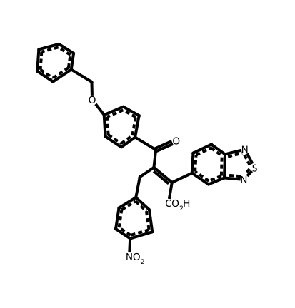 O=C(O)/C(=C(\Cc1ccc([N+](=O)[O-])cc1)C(=O)c1ccc(OCc2ccccc2)cc1)c1ccc2nsnc2c1